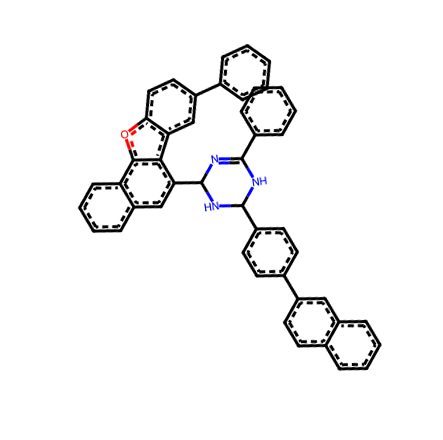 c1ccc(C2=NC(c3cc4ccccc4c4oc5ccc(-c6ccccc6)cc5c34)NC(c3ccc(-c4ccc5ccccc5c4)cc3)N2)cc1